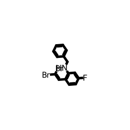 Fc1ccc(C=C(Br)Br)c(NCc2ccccc2)c1